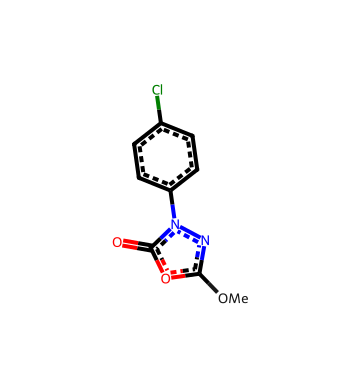 COc1nn(-c2ccc(Cl)cc2)c(=O)o1